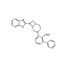 O=Cc1c(-c2ccccc2)cccc1N1CCC2CN(c3nc4ccccc4o3)C2C1